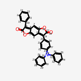 O=C1Oc2cc3c(cc2=C1c1ccccc1)OC(=O)C=3c1ccc(N(c2ccccc2)c2ccccc2)cc1